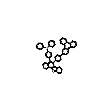 c1ccc(N(c2ccccc2)c2ccc(-c3c(-c4ccc(-c5ccc6c7ccccc7c7ccccc7c6c5)cc4)c4c5ccccc5oc4c4ccccc34)cc2)cc1